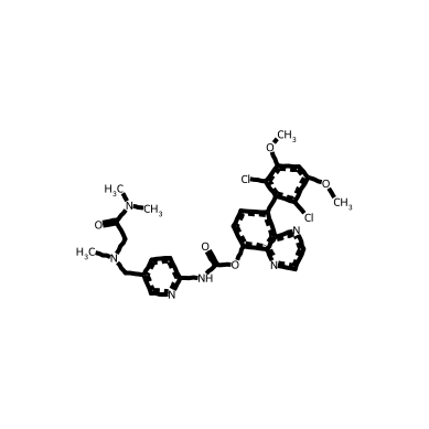 COc1cc(OC)c(Cl)c(-c2ccc(OC(=O)Nc3ccc(CN(C)CC(=O)N(C)C)cn3)c3nccnc23)c1Cl